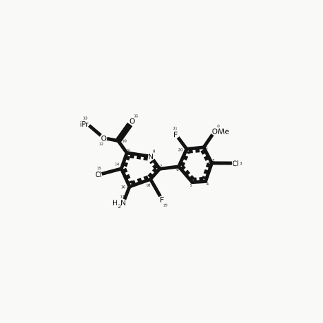 COc1c(Cl)ccc(-c2nc(C(=O)OC(C)C)c(Cl)c(N)c2F)c1F